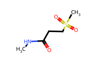 CNC(=O)CCS(C)(=O)=O